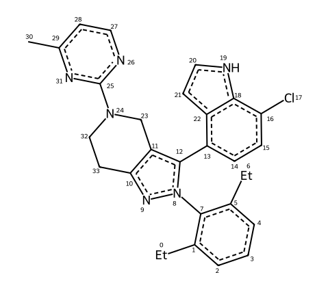 CCc1cccc(CC)c1-n1nc2c(c1-c1ccc(Cl)c3[nH]ccc13)CN(c1nccc(C)n1)CC2